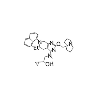 CCc1cccc2cccc(N3CCc4c(nc(OCC56CCCN5CCC6)nc4N(C)CC(O)C4CC4)C3)c12